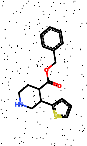 O=C(OCc1ccccc1)C1CCNCC1c1cccs1